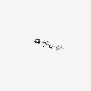 C[C@]12C[C@@H]3C[C@](C)(C1)C[C@@](Nc1nc(Cl)nc4c1ncn4[C@@H]1O[C@H](COS(=O)(=O)CP(=O)(O)O)[C@H](O)[C@@H]1O)(C3)C2